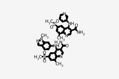 Cc1cc(S(C)(=O)=O)cc2c(Nc3ccc4cnn(C)c4c3)c(C(N)=O)cnc12.Cc1cc(S(C)(=O)=O)cc2c(Nc3cccnc3)c(C(N)=O)cnc12